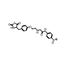 O=C(CNCCOc1ccc(CC2NC(=O)SC2=O)cc1)Nc1ccc([N+](=O)[O-])cc1